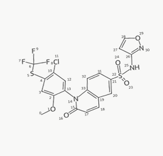 COc1cc(SC(F)(F)F)c(Cl)cc1-n1c(=O)ccc2cc(S(=O)(=O)Nc3ccon3)ccc21